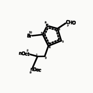 CCCCCCCCCCC(CCCCCCCC)Cc1cc(C=O)sc1Br